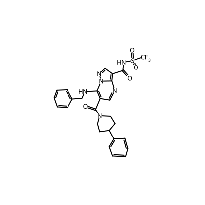 O=C(NS(=O)(=O)C(F)(F)F)c1cnn2c(NCc3ccccc3)c(C(=O)N3CCC(c4ccccc4)CC3)cnc12